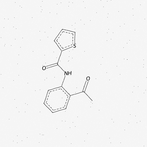 CC(=O)c1ccccc1NC(=O)c1cccs1